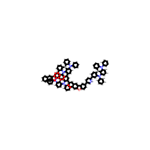 c1ccc(N2c3ccccc3B3c4ccc(-c5ccc(-c6ccc7oc8cc9ccc(-c%10cc(-c%11ccc%12c%13c%11N(c%11ccccc%11)c%11c(cccc%11-c%11ccc%14oc%15cc%16ccccc%16cc%15c%14c%11)B%13c%11ccccc%11N%12c%11ccccc%11)cc%11c%10N(c%10ccccc%10)c%10cccc%12c%10B%11c%10ccccc%10N%12c%10ccccc%10)cc9cc8c7c6)cn5)cc4N(c4ccccc4)c4cccc2c43)cc1